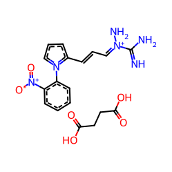 N=C(N)[N+](N)=CC=Cc1cccn1-c1ccccc1[N+](=O)[O-].O=C(O)CCC(=O)O